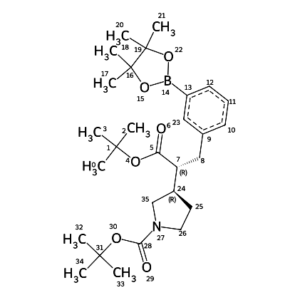 CC(C)(C)OC(=O)[C@H](Cc1cccc(B2OC(C)(C)C(C)(C)O2)c1)[C@H]1CCN(C(=O)OC(C)(C)C)C1